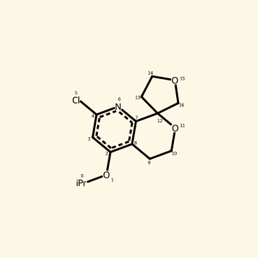 CC(C)Oc1cc(Cl)nc2c1CCOC21CCOC1